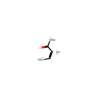 COC(=O)/C=C\C(=O)[O-].[Zn+]